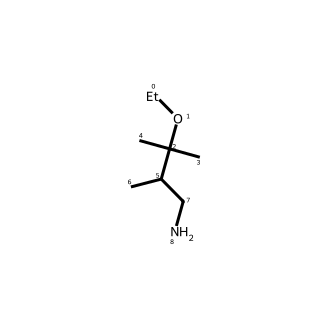 CCOC(C)(C)C(C)CN